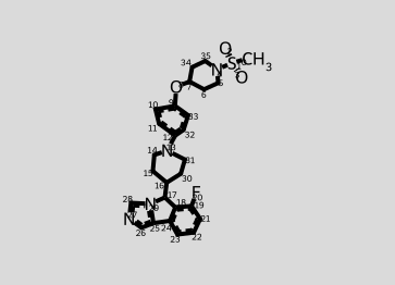 CS(=O)(=O)N1CCC(Oc2ccc(N3CCC(C4c5c(F)cccc5-c5cncn54)CC3)cc2)CC1